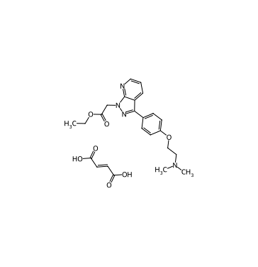 CCOC(=O)Cn1nc(-c2ccc(OCCN(C)C)cc2)c2cccnc21.O=C(O)C=CC(=O)O